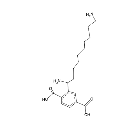 NCCCCCCCCCC(N)c1cc(C(=O)O)ccc1C(=O)O